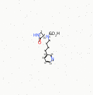 O=C1NC[C@@H]1N(CCCCc1cccnc1)C(=O)O